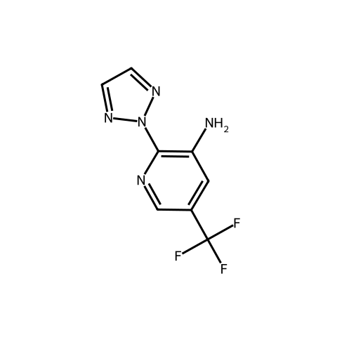 Nc1cc(C(F)(F)F)cnc1-n1nccn1